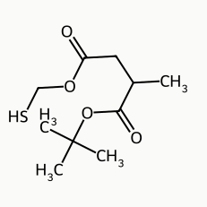 CC(CC(=O)OCS)C(=O)OC(C)(C)C